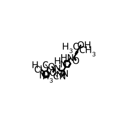 C[C@@H](OC(=O)Nc1c(-c2ccc(NC(=O)C#CC(C)(C)O)cn2)nnn1C)c1cccnc1Cl